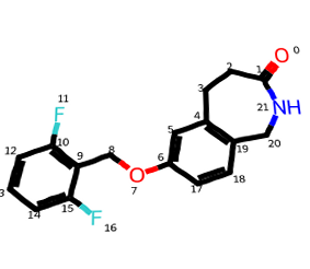 O=C1CCc2cc(OCc3c(F)cccc3F)ccc2CN1